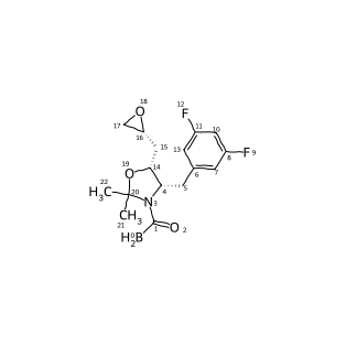 BC(=O)N1[C@@H](Cc2cc(F)cc(F)c2)[C@@H](C[C@@H]2CO2)OC1(C)C